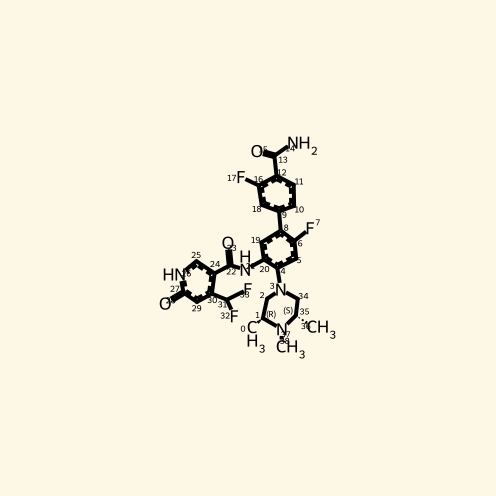 C[C@@H]1CN(c2cc(F)c(-c3ccc(C(N)=O)c(F)c3)cc2NC(=O)c2c[nH]c(=O)cc2C(F)F)C[C@H](C)N1C